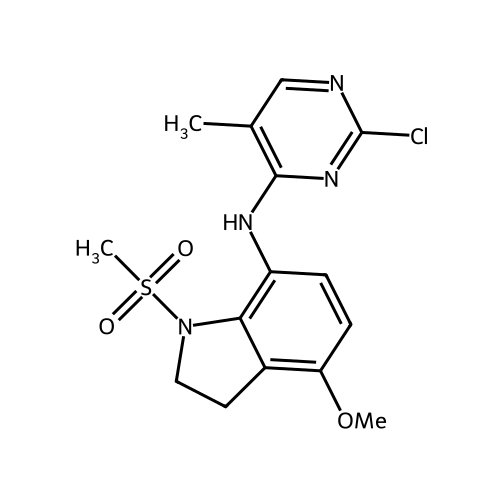 COc1ccc(Nc2nc(Cl)ncc2C)c2c1CCN2S(C)(=O)=O